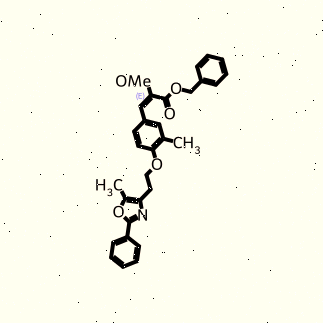 CO/C(=C/c1ccc(OCCc2nc(-c3ccccc3)oc2C)c(C)c1)C(=O)OCc1ccccc1